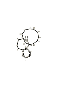 c1ccc2c(c1)CCCC13CCCCCCCCC2(C1)N3